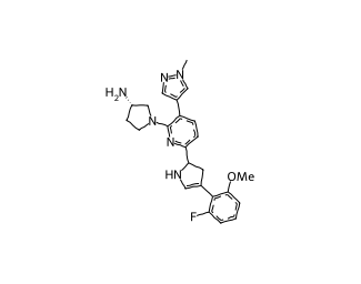 COc1cccc(F)c1C1=CNC(c2ccc(-c3cnn(C)c3)c(N3CC[C@H](N)C3)n2)C1